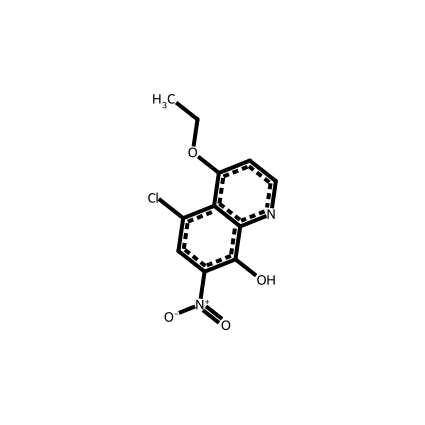 CCOc1ccnc2c(O)c([N+](=O)[O-])cc(Cl)c12